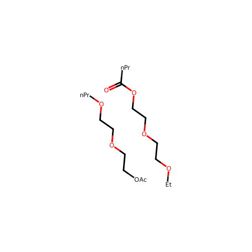 CCCC(=O)OCCOCCOCC.CCCOCCOCCOC(C)=O